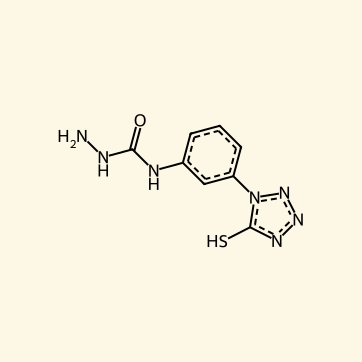 NNC(=O)Nc1cccc(-n2nnnc2S)c1